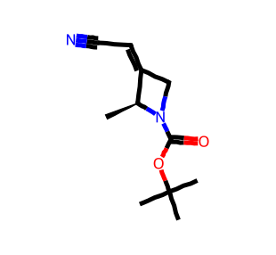 C[C@H]1/C(=C\C#N)CN1C(=O)OC(C)(C)C